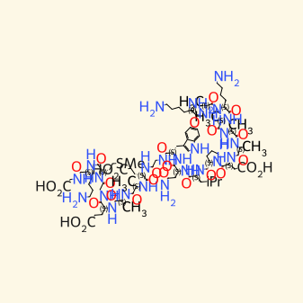 CSCC[C@H](NC(=O)CNC(=O)[C@H](CCC(=O)O)NC(=O)[C@H](C)NC(=O)[C@H](C)NC(=O)[C@H](CCC(=O)O)NC(=O)CNC(=O)[C@H](Cc1c[nH]c2ccccc12)NC(=O)[C@H](CC(N)=O)NC(=O)[C@H](CC(C)C)NC(=O)[C@@H]1CCCN1C(=O)[C@H](CC(=O)O)NC(=O)[C@H](C)NC(=O)[C@H](C)NC(=O)[C@H](C)NC(=O)[C@H](CCCCN)NC(=O)[C@H](C)NC(=O)[C@@H](N)CCCCN)C(=O)N[C@@H](CCCCN)C(=O)NCC(=O)O